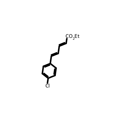 CCOC(=O)/C=C/C=C/c1ccc(Cl)cc1